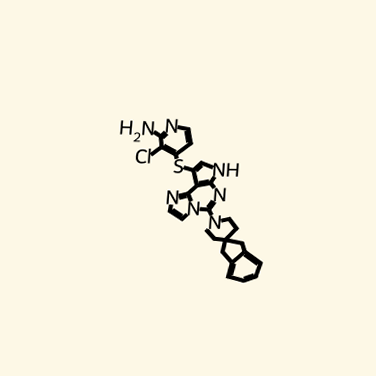 Nc1nccc(Sc2c[nH]c3nc(N4CCC5(CC4)Cc4ccccc4C5)n4ccnc4c23)c1Cl